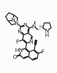 C#Cc1c(F)ccc2cc(=O)[nH]c(-c3ncc4c(N(C)C[C@@H]5CCCN5)nc(N5CC6CCC(C5)N6C)nc4c3F)c12